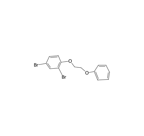 Brc1ccc(OCCOc2ccccc2)c(Br)c1